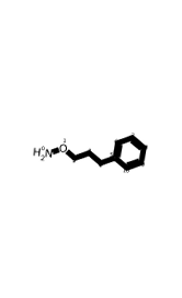 NOCCCc1ccccc1